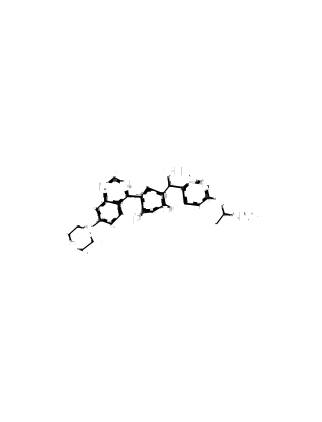 CNC(C)Oc1ccc(C(O)c2cc(-c3ncnc4cc(N5CCOCC5)ccc34)c(F)cc2Cl)nn1